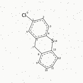 Clc1ccc2c(c1)Cc1ccccc1S2